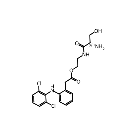 N[C@@H](CO)C(=O)NCCOC(=O)Cc1ccccc1Nc1c(Cl)cccc1Cl